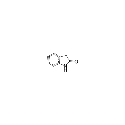 O=C1Cc2cc#ccc2N1